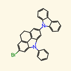 Brc1cc2c3c4c(cc(-n5c6ccccc6c6ccccc65)cc4n(-c4ccccc4)c3c1)CC2